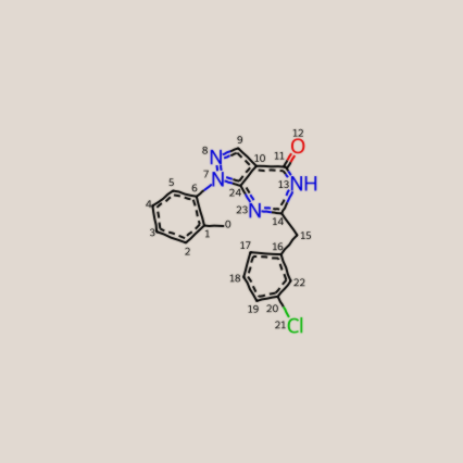 Cc1ccccc1-n1ncc2c(=O)[nH]c(Cc3cccc(Cl)c3)nc21